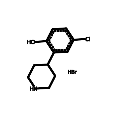 Br.Oc1ccc(Cl)cc1C1CCNCC1